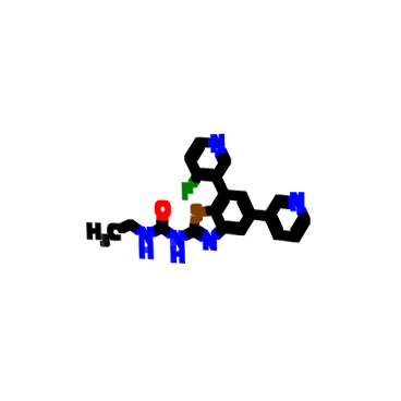 CCNC(=O)Nc1nc2cc(-c3cccnc3)cc(-c3cnccc3F)c2s1